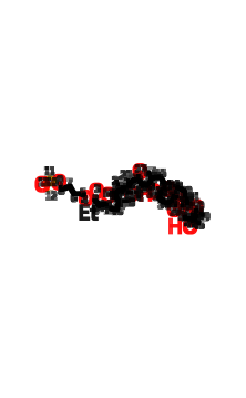 CC[C@H](C(=O)OCCCCOP(C)(C)=O)[C@H]1CC[C@H](C)[C@H]([C@@H](C)[C@H](O)[C@H](C)C(=O)[C@H](CC)[C@H]2O[C@]3(C=C[C@@H](O)[C@]4(CC[C@@](C)([C@H]5CC[C@@](C)(O)[C@H](C)O5)O4)O3)[C@H](C)C[C@@H]2C)O1